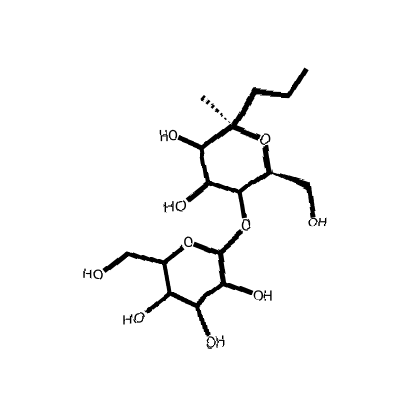 CCC[C@@]1(C)O[C@@H](CO)C(OC2OC(CO)C(O)C(O)C2O)C(O)C1O